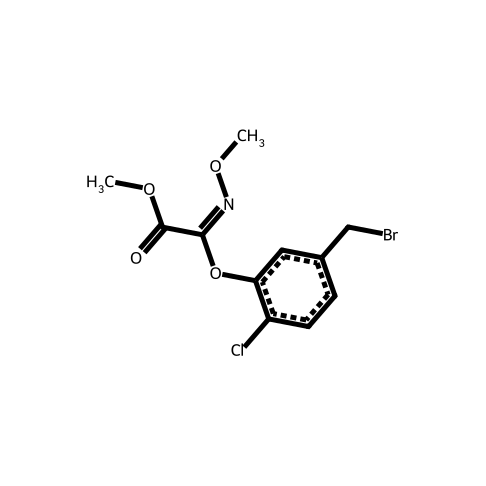 CON=C(Oc1cc(CBr)ccc1Cl)C(=O)OC